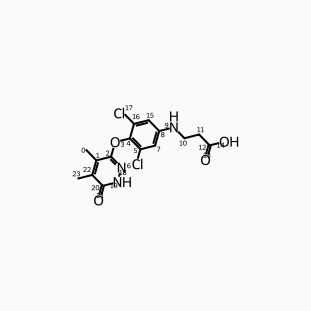 Cc1c(Oc2c(Cl)cc(NCCC(=O)O)cc2Cl)n[nH]c(=O)c1C